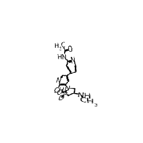 CNC1CN(c2cc(-c3ccnc(NC(C)=O)c3)cnc2C)S(=O)(=O)C1